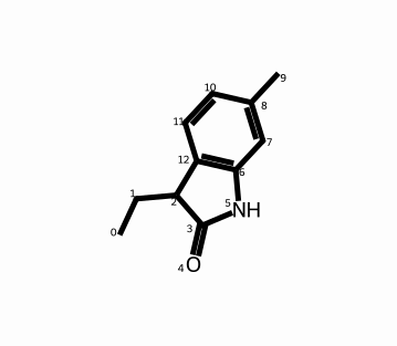 CCC1C(=O)Nc2cc(C)ccc21